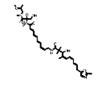 COC(C)CN(C)C(=O)C(O)(CO)N(O)C(=O)/C=C/C=C/C=C/C=C\CNC(=O)C(C)(C)C(O)\C(C)=C/C=C\C=C\Cc1cnc(C)o1